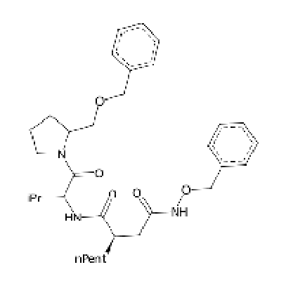 CCCCC[C@H](CC(=O)NOCc1ccccc1)C(=O)NC(C(=O)N1CCCC1COCc1ccccc1)C(C)C